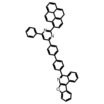 C1=CC2=CCc3ccc(-c4nc(-c5ccccc5)cc(-c5ccc(-c6ccc(-c7nc8oc9ccccc9c8c8ccccc78)cc6)cc5)n4)c4c3C2C(=C1)C=C4